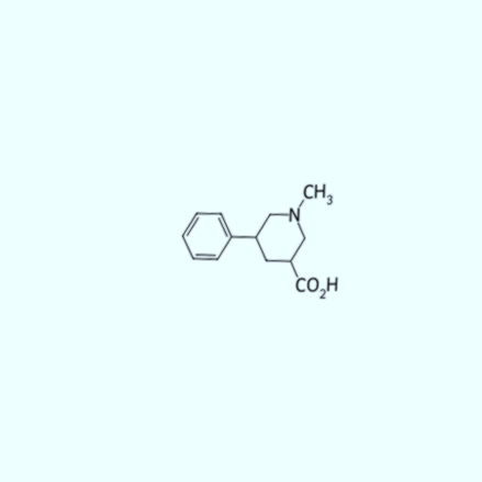 CN1CC(C(=O)O)CC(c2ccccc2)C1